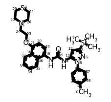 Cc1ccc(-n2nc([Si](C)(C)C)cc2NC(=O)Nc2ccc(OCCN3CCSCC3)c3ccccc23)cc1